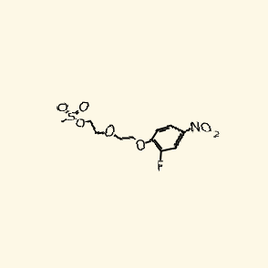 CS(=O)(=O)OCCOCCOc1ccc([N+](=O)[O-])cc1F